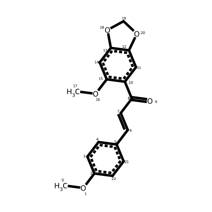 COc1ccc(C=CC(=O)c2cc3c(cc2OC)OCO3)cc1